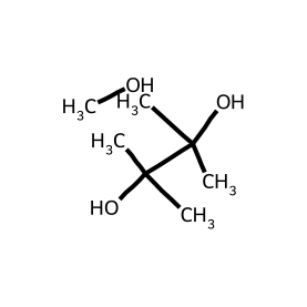 CC(C)(O)C(C)(C)O.CO